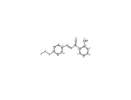 CCCc1ccc(C=CC(=O)c2ccccc2O)cc1